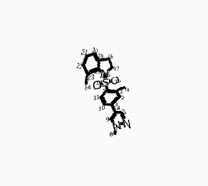 Cc1cc(-c2cnn(C)c2)ccc1S(=O)(=O)N1CCc2cccc(C)c21